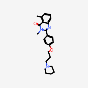 Cc1cccc2nc(-c3ccc(OCCCN4CCCCC4)cc3)n(C)c(=O)c12